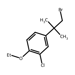 CCOc1ccc(C(C)(C)CBr)cc1Cl